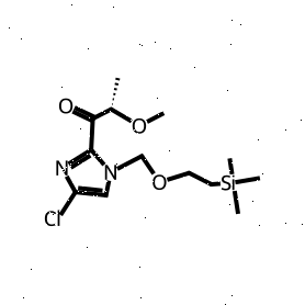 CO[C@@H](C)C(=O)c1nc(Cl)cn1COCC[Si](C)(C)C